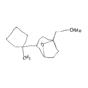 COCC12CCC(O1)C(C1(C)CCCC1)C2